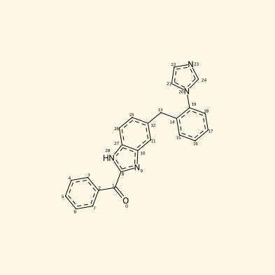 O=C(c1ccccc1)c1nc2cc(Cc3ccccc3-n3ccnc3)ccc2[nH]1